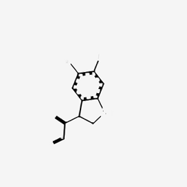 O=CC(=O)C1CNc2cc(F)c(Br)cc21